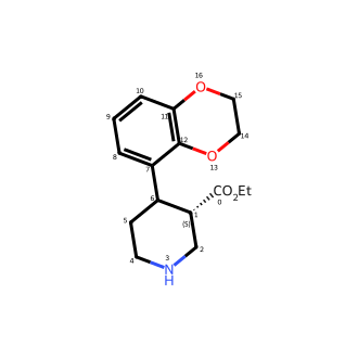 CCOC(=O)[C@@H]1CNCCC1c1cccc2c1OCCO2